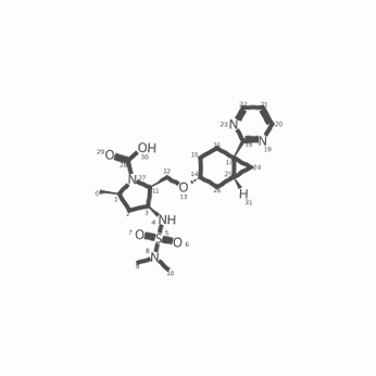 C[C@@H]1C[C@H](NS(=O)(=O)N(C)C)[C@H](CO[C@@H]2CC[C@]3(c4ncccn4)C[C@@H]3C2)N1C(=O)O